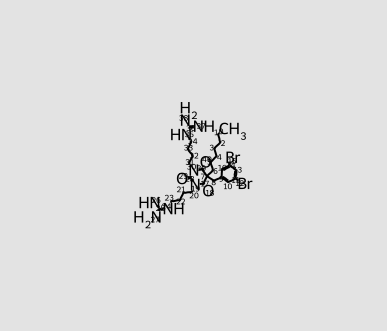 CCCCCCCC1(Cc2cc(Br)cc(Br)c2)C(=O)N(CCCCNC(=N)N)C(=O)N(CCCCNC(=N)N)C1=O